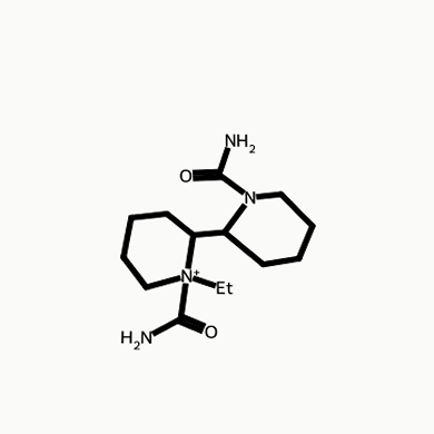 CC[N+]1(C(N)=O)CCCCC1C1CCCCN1C(N)=O